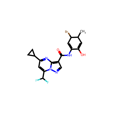 CC1C=C(O)C(NC(=O)c2cnn3c(C(F)F)cc(C4CC4)nc23)=CC1Br